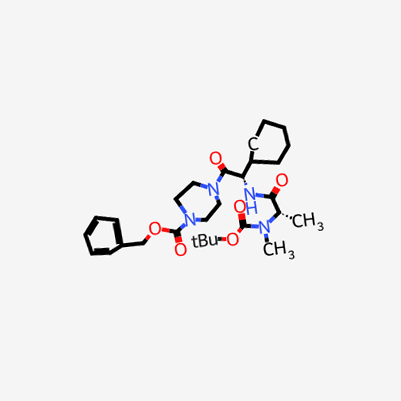 C[C@@H](C(=O)N[C@H](C(=O)N1CCN(C(=O)OCc2ccccc2)CC1)C1CCCCC1)N(C)C(=O)OC(C)(C)C